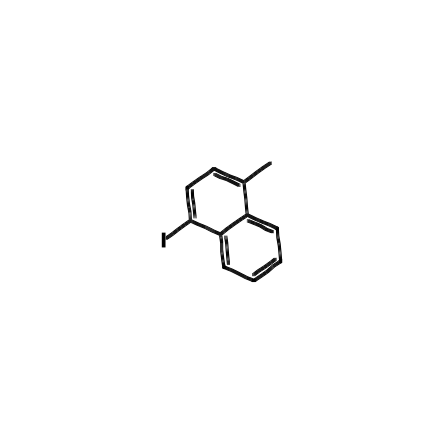 Cc1ccc(I)c2ccccc12